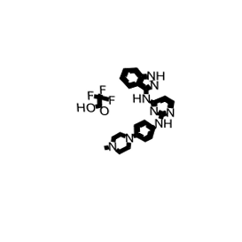 CN1CCN(c2ccc(Nc3nccc(Nc4n[nH]c5ccccc45)n3)cc2)CC1.O=C(O)C(F)(F)F